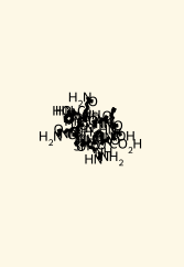 C#CCC[C@H](NC(=O)[C@H](CS)NC(=O)CN)C(=O)N[C@H](C(=O)N[C@@H](CC(=O)O)C(=O)N1CCC[C@H]1C(=O)N[C@@H](CCCNC(=N)N)C(=O)N[C@@H](CS)C(=O)N[C@@H](CCCNC(N)=O)C(=O)N[C@@H](Cc1c[nH]c2ccccc12)C(=O)N[C@@H](CCC(N)=O)C(=O)O)[C@@H](C)O